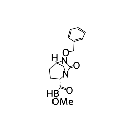 COBC(=O)[C@@H]1CC[C@@H]2CN1C(=O)N2OCc1ccccc1